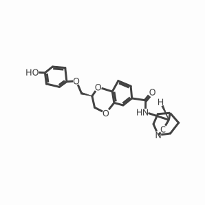 O=C(N[C@H]1CN2CCC1CC2)c1ccc2c(c1)OC[C@@H](COc1ccc(O)cc1)O2